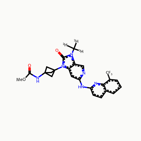 [2H]C([2H])([2H])n1c(=O)n(C23CC(NC(=O)OC)(C2)C3)c2cc(Nc3ccc4cccc(C(F)(F)F)c4n3)ncc21